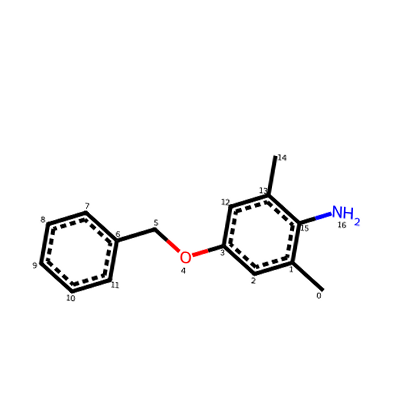 Cc1cc(OCc2ccccc2)cc(C)c1N